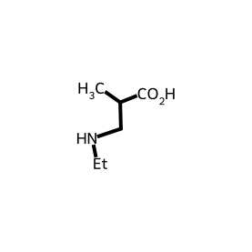 CCNCC(C)C(=O)O